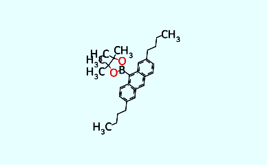 CCCCc1ccc2c(B3OC(C)(C)C(C)(C)O3)c3cc(CCCC)ccc3cc2c1